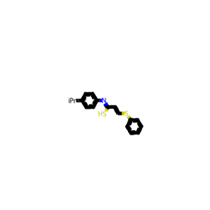 CC(C)c1ccc(N=C(S)C=CSc2ccccc2)cc1